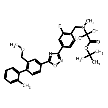 COCc1cc(-c2nc(-c3ccc(CN(C)C(C)(C)C(=O)OC(C)(C)C)c(F)c3)no2)ccc1-c1ccccc1C